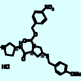 COc1ccc(CS[C@H]2C[C@@H](C(=O)N[C@H]3CCNC3)N(C(=O)OCc3ccc([N+](=O)[O-])cc3)C2)cc1.Cl